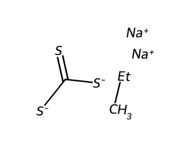 CCC.S=C([S-])[S-].[Na+].[Na+]